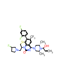 C=CC(O)N1[C@H](C)CN(c2nc(=O)n3c4c(c(-c5ccc(F)cc5F)c(C(F)(F)F)cc24)SCC3CN2CCC(F)C2)C[C@@H]1C